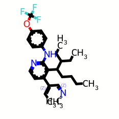 C/C=C(\C=N/C)c1ccnc(Nc2ccc(OC(F)(F)F)cc2)c1C(CCCC)C(CC)CC